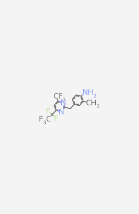 Cc1cc(Cc2nc(C(F)(F)F)cc(C(F)(F)C(F)(F)F)n2)ccc1N